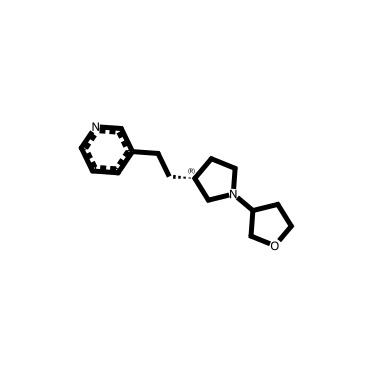 c1cncc(CC[C@@H]2CCN(C3CCOC3)C2)c1